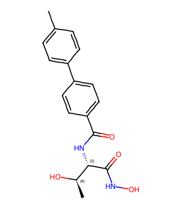 Cc1ccc(-c2ccc(C(=O)N[C@H](C(=O)NO)[C@@H](C)O)cc2)cc1